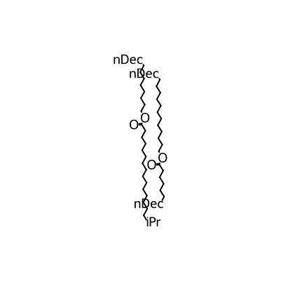 CCCCCCCCCCCCCCCCCCCCCCOC(=O)CCCCCCCCCCCCCCC.CCCCCCCCCCCCCCCCCCOC(=O)CCCCCCCCCCCCCCC(C)C